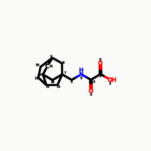 O=C(O)C(=O)NCC12CC3CCC(C1)C(C3)C2